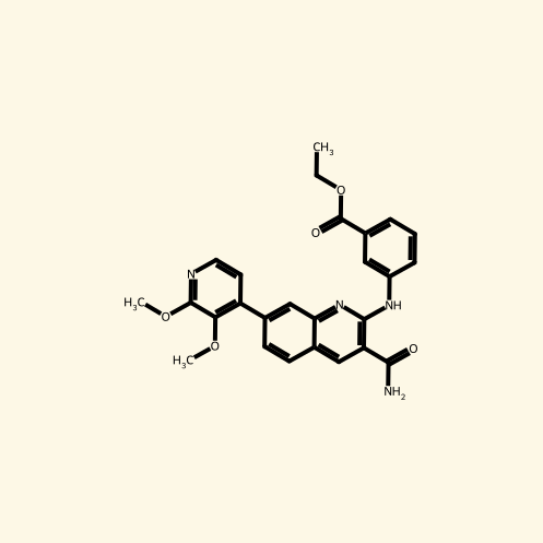 CCOC(=O)c1cccc(Nc2nc3cc(-c4ccnc(OC)c4OC)ccc3cc2C(N)=O)c1